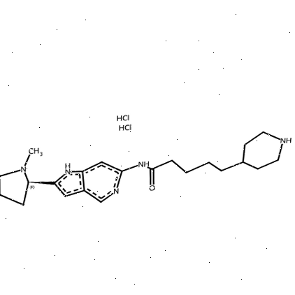 CN1CCC[C@@H]1c1cc2cnc(NC(=O)CCCCC3CCNCC3)cc2[nH]1.Cl.Cl